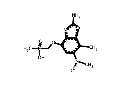 Cc1c(N(C)C)cc(OCP(C)(=O)O)c2nc(N)sc12